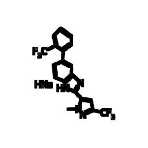 Cn1nc(C(F)(F)F)cc1-c1nc2cc(-c3ccccc3C(F)(F)F)ccc2[nH]1.[NaH]